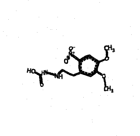 COc1cc(CCNNC(=O)O)c([N+](=O)[O-])cc1OC